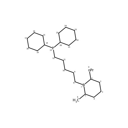 CCCC1CCCC(C)B1CCCCCP(C1CCCCC1)C1CCCCC1